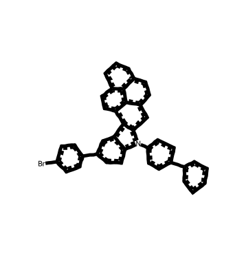 Brc1ccc(-c2ccc3c(c2)c2c4ccc5cccc6ccc(cc2n3-c2ccc(-c3ccccc3)cc2)c4c65)cc1